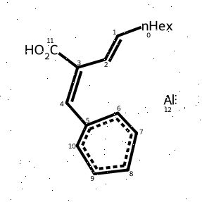 CCCCCCC=CC(=Cc1ccccc1)C(=O)O.[Al]